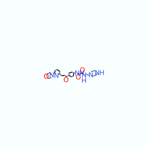 O=C(NCCN1CCNCC1)C(=O)Nc1ccc(C(=O)C=Cc2cccc(N3CCOCC3)n2)cc1